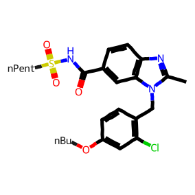 CCCCCS(=O)(=O)NC(=O)c1ccc2nc(C)n(Cc3ccc(OCCCC)cc3Cl)c2c1